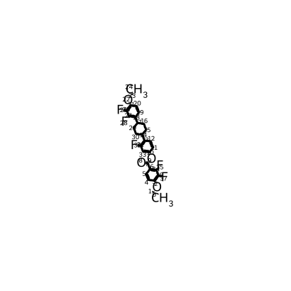 CCOc1ccc(C(=O)Oc2ccc(C3CCC(c4ccc(OCC)c(F)c4F)CC3)c(F)c2)c(F)c1F